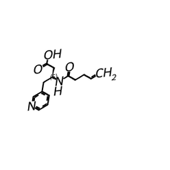 C=CCCC(=O)N[C@H](CC(=O)O)Cc1cccnc1